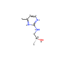 Cc1ccnc(NC[C@@H](C)O)n1